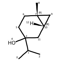 CC(C)C1(O)CC[C@]2(C)C[C@@H]2C1